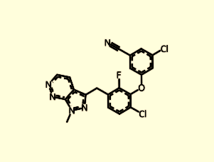 Cn1nc(Cc2ccc(Cl)c(Oc3cc(Cl)cc(C#N)c3)c2F)c2ccnnc21